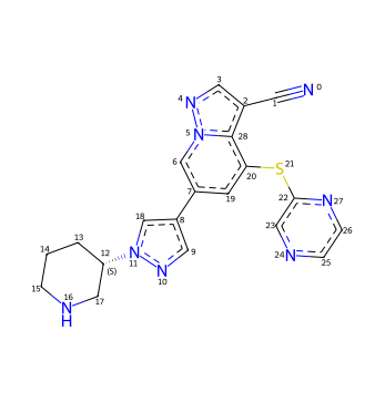 N#Cc1cnn2cc(-c3cnn([C@H]4CCCNC4)c3)cc(Sc3cnccn3)c12